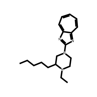 CCCCCC1CN(c2nc3cccccc-3n2)CCN1CC